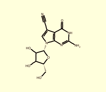 N#Cc1cn([C@@H]2O[C@H](CO)C(O)C2O)c2nc(N)[nH]c(=O)c12